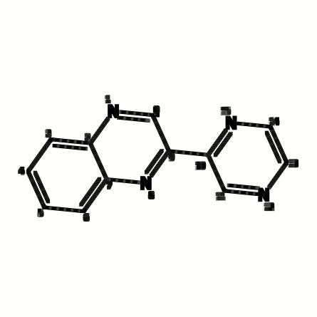 [c]1nc2ccccc2nc1-c1cnccn1